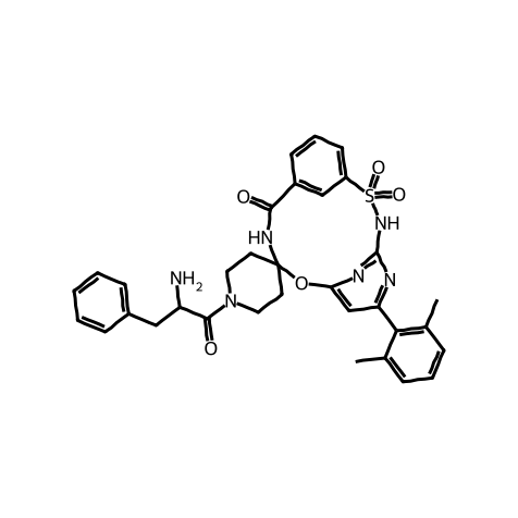 Cc1cccc(C)c1-c1cc2nc(n1)NS(=O)(=O)c1cccc(c1)C(=O)NC1(CCN(C(=O)C(N)Cc3ccccc3)CC1)O2